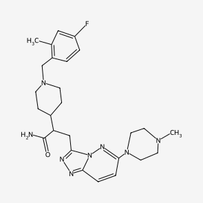 Cc1cc(F)ccc1CN1CCC(C(Cc2nnc3ccc(N4CCN(C)CC4)nn23)C(N)=O)CC1